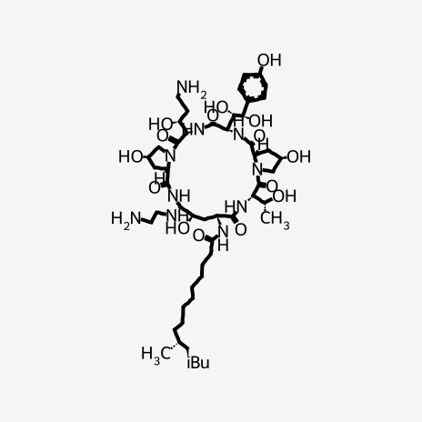 CC[C@H](C)C[C@H](C)CCCCCCCCC(=O)N[C@H]1C[C@@H](O)[C@@H](NCCN)NC(=O)[C@@H]2C[C@@H](O)CN2C(=O)[C@H]([C@H](O)CCN)NC(=O)[C@H]([C@H](O)[C@@H](O)c2ccc(O)cc2)NC(=O)[C@@H]2C[C@@H](O)CN2C(=O)[C@H]([C@@H](C)O)NC1=O